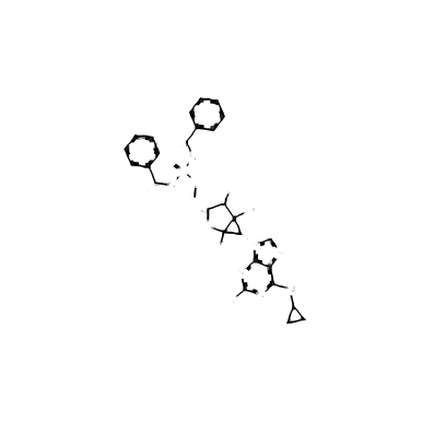 CCOC(=O)[C@@H](NP(=O)(N[C@H](C(=O)OCC)c1ccccc1)OC[C@H]1OC2(C)[C@@H](n3cnc4c(NC5CC5)nc(N)nc43)C2(O)C1O)c1ccccc1